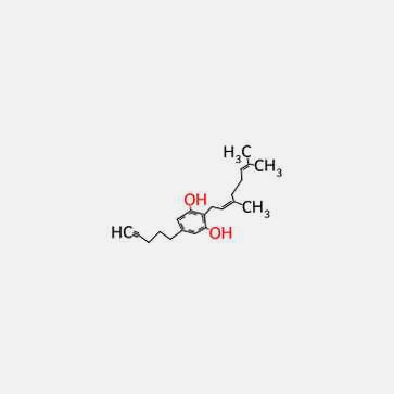 C#CCCCc1cc(O)c(CC=C(C)CCC=C(C)C)c(O)c1